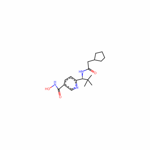 CC(C)(C)[C@H](NC(=O)CC1CCCC1)c1ccc(C(=O)NO)cn1